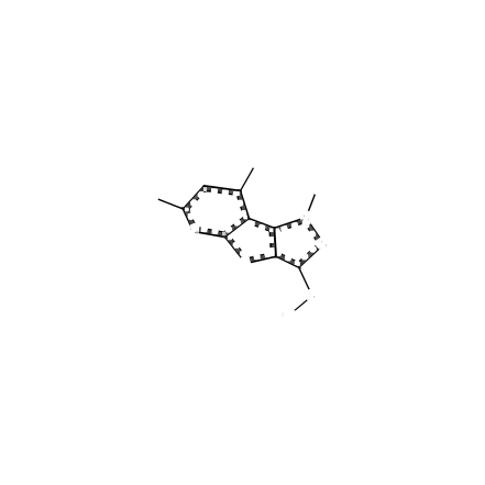 Cc1cc(C)c2c(n1)sc1c(NC(C)C)nn(C)c12